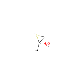 CC1CS1.O